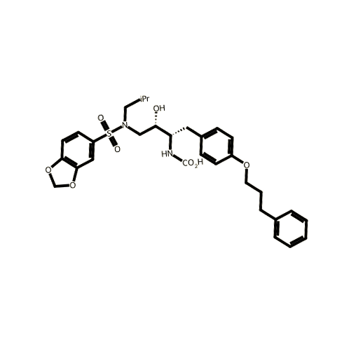 CC(C)CN(C[C@H](O)[C@H](Cc1ccc(OCCCc2ccccc2)cc1)NC(=O)O)S(=O)(=O)c1ccc2c(c1)OCO2